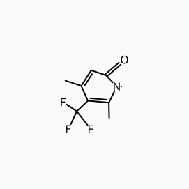 CC1=[C]C(=O)[N]C(C)=C1C(F)(F)F